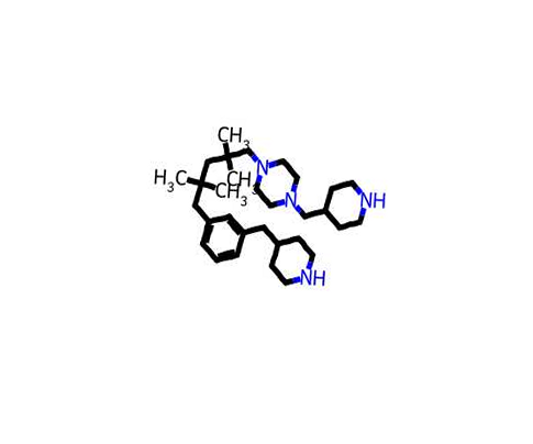 CC(C)(Cc1cccc(CC2CCNCC2)c1)CC(C)(C)CN1CCN(CC2CCNCC2)CC1